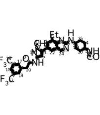 CCc1cc(-c2cc(NC(=O)Cc3cc(C(F)(F)F)cc(C(F)(F)F)c3)nn2C)cc2cnc(NC3CCC(NC(=O)O)CC3)nc12